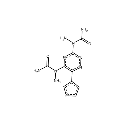 NC(=O)N(N)c1nnc(-c2ccsc2)c(N(N)C(N)=O)n1